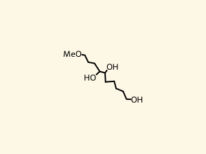 COCCCC(O)C(O)CCCCCO